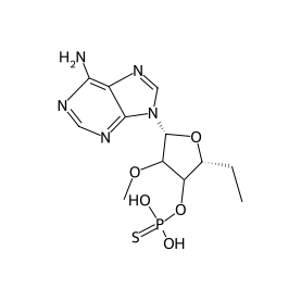 CC[C@H]1O[C@@H](n2cnc3c(N)ncnc32)C(OC)C1OP(O)(O)=S